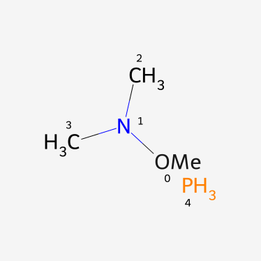 CON(C)C.P